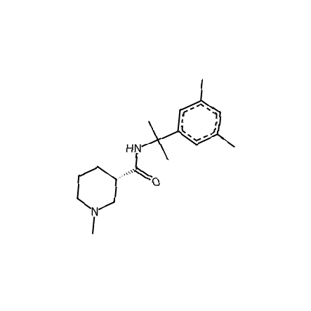 Cc1cc(C)cc(C(C)(C)NC(=O)[C@H]2CCCN(C)C2)c1